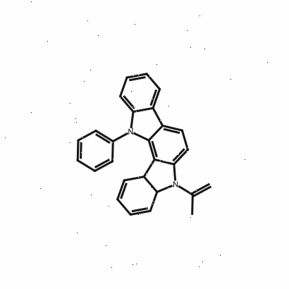 C=C(C)N1c2ccc3c4ccccc4n(-c4ccccc4)c3c2C2C=CC=CC21